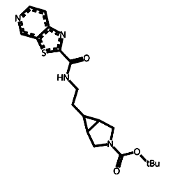 CC(C)(C)OC(=O)N1CC2C(CCNC(=O)c3nc4ccncc4s3)C2C1